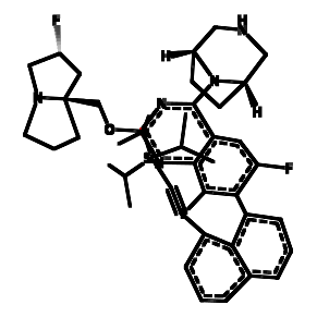 CC(C)[Si](C#Cc1cccc2cccc(-c3c(F)cc4c(N5[C@@H]6CC[C@H]5CNC6)nc(OC[C@@]56CCCN5C[C@H](F)C6)nc4c3F)c12)(C(C)C)C(C)C